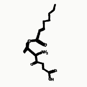 CCCCCCCC(=O)OC(C)C(N)C(=O)CCC(=O)O